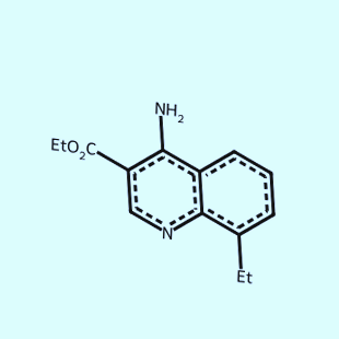 CCOC(=O)c1cnc2c(CC)cccc2c1N